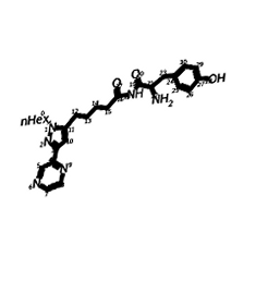 CCCCCCn1nc(-c2cnccn2)cc1CCCCC(=O)NC(=O)C(N)Cc1ccc(O)cc1